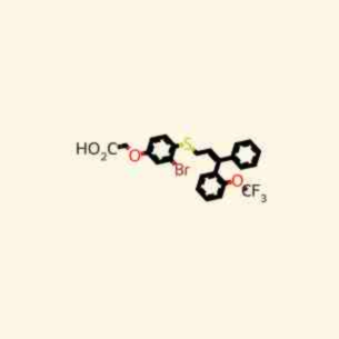 O=C(O)COc1ccc(SCC=C(c2ccccc2)c2ccccc2OC(F)(F)F)c(Br)c1